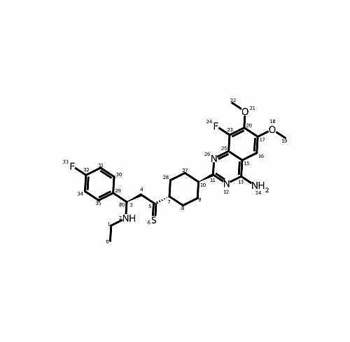 CCN[C@H](CC(=S)[C@H]1CC[C@H](c2nc(N)c3cc(OC)c(OC)c(F)c3n2)CC1)c1ccc(F)cc1